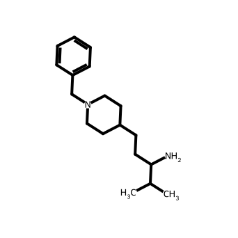 CC(C)C(N)CCC1CCN(Cc2ccccc2)CC1